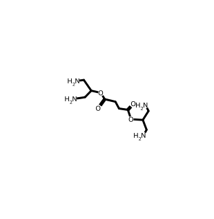 NCC(CN)OC(=O)CCC(=O)OC(CN)CN